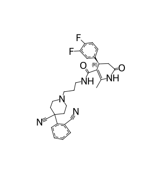 CC1=C(C(=O)NCCCN2CCC(C#N)(c3ccccc3C#N)CC2)[C@@H](c2ccc(F)c(F)c2)CC(=O)N1